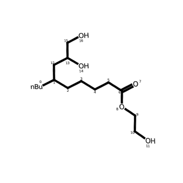 CCCCC(CCCCC(=O)OCCO)CC(O)CO